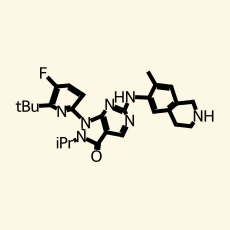 Cc1cc2c(cc1Nc1ncc3c(=O)n(C(C)C)n(-c4ccc(F)c(C(C)(C)C)n4)c3n1)CCNC2